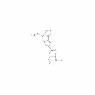 CCC(CC(=O)c1cc2c(cc(OC)c3occc32)s1)C(=O)OC